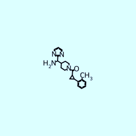 Cc1ccccc1C1CC1C(=O)N1CCC(C(N)c2ncccn2)CC1